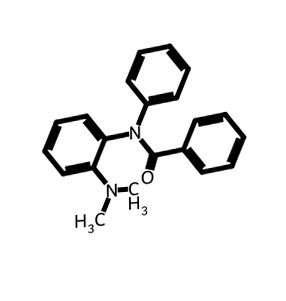 CN(C)c1ccccc1N(C(=O)c1ccccc1)c1ccccc1